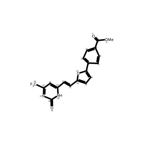 COC(=O)c1ccc(-c2ccc(C=Cc3cc(C(F)(F)F)nc(=O)[nH]3)o2)cc1